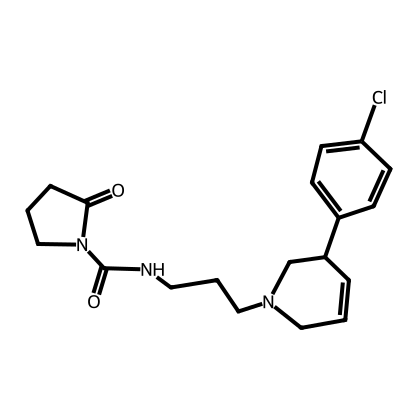 O=C1CCCN1C(=O)NCCCN1CC=CC(c2ccc(Cl)cc2)C1